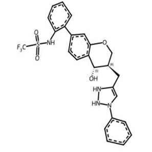 O=S(=O)(Nc1ccccc1-c1ccc2c(c1)OC[C@@H](CC1=CN(c3ccccc3)NN1)[C@@H]2O)C(F)(F)F